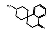 CN1CCC2(CCC(=O)c3ccccc32)CC1